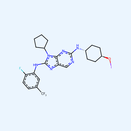 Fc1ccc(C(F)(F)F)cc1Nc1nc2cnc(N[C@H]3CC[C@H](OI)CC3)nc2n1C1CCCC1